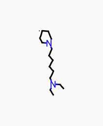 CCN(CC)CCCCCCN1CC[CH]CC1